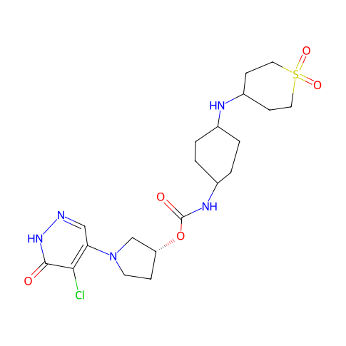 O=C(NC1CCC(NC2CCS(=O)(=O)CC2)CC1)O[C@@H]1CCN(c2cn[nH]c(=O)c2Cl)C1